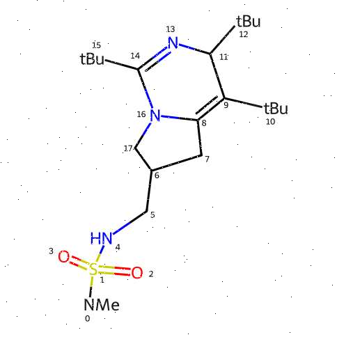 CNS(=O)(=O)NCC1CC2=C(C(C)(C)C)C(C(C)(C)C)N=C(C(C)(C)C)N2C1